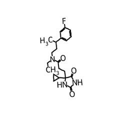 CCN(CCC(C)c1cccc(F)c1)C(=O)CCC1(C2CC2)NC(=O)NC1=O